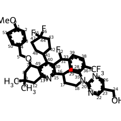 COc1ccc(COC2CC(C)(C)Cc3nc(C4CCN(c5ncc(CO)cn5)CC4)c(C(F)c4ccc(C(F)(F)F)cc4)c(C4CCC(F)(F)CC4)c32)cc1